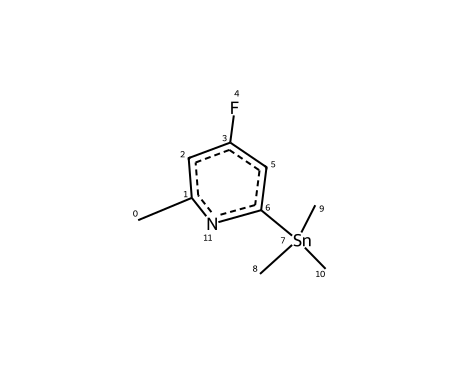 Cc1cc(F)c[c]([Sn]([CH3])([CH3])[CH3])n1